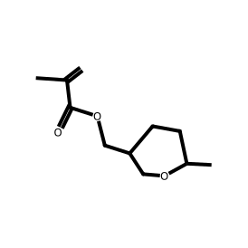 C=C(C)C(=O)OCC1CCC(C)OC1